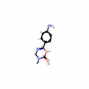 CN1CN=C(c2ccc(N)cc2)OC1=O